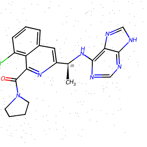 C[C@H](Nc1ncnc2[nH]cnc12)c1cc2cccc(Cl)c2c(C(=O)N2CCCC2)n1